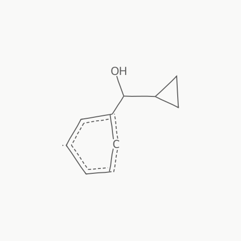 OC(c1c[c]ccc1)C1CC1